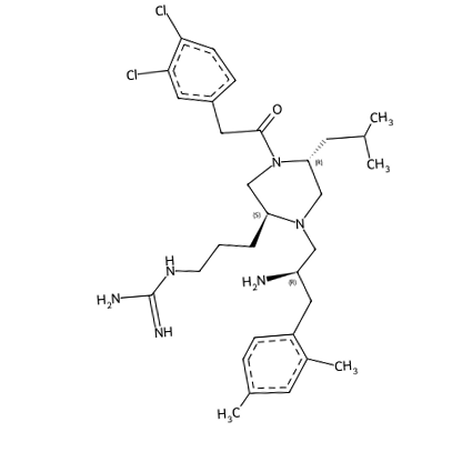 Cc1ccc(C[C@@H](N)CN2C[C@@H](CC(C)C)N(C(=O)Cc3ccc(Cl)c(Cl)c3)C[C@@H]2CCCNC(=N)N)c(C)c1